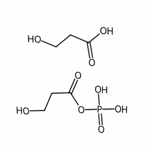 O=C(CCO)OP(=O)(O)O.O=C(O)CCO